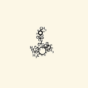 C=C[C@]1(C)C[C@@H](OC(=O)COS(=O)(=O)c2ccc(C)cc2)[C@@](C)([C@H]2CCCC2=O)[C@H](C)CCC[C@@H](C)[C@@H]1O